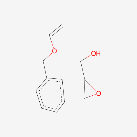 C=COCc1ccccc1.OCC1CO1